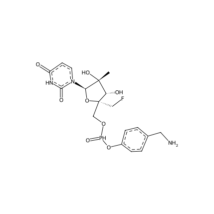 C[C@@]1(O)[C@H](O)[C@@](CF)(CO[PH](=O)Oc2ccc(CN)cc2)O[C@H]1n1ccc(=O)[nH]c1=O